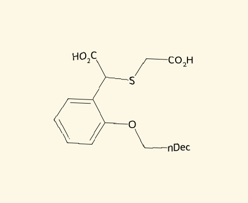 CCCCCCCCCCCOc1ccccc1C(SCC(=O)O)C(=O)O